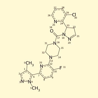 Cc1cnn(C)c1-c1ccc(F)c(N2CCN(C(=O)N3N=CCC3c3ncccc3Cl)CC2)n1